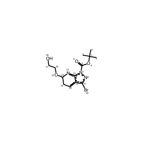 CC(C)(C)OC(=O)n1nc(Br)c2c1=NC(OCCO)CC=2